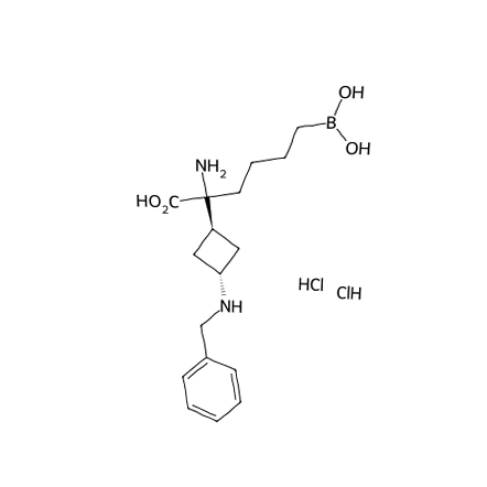 Cl.Cl.NC(CCCCB(O)O)(C(=O)O)[C@H]1C[C@H](NCc2ccccc2)C1